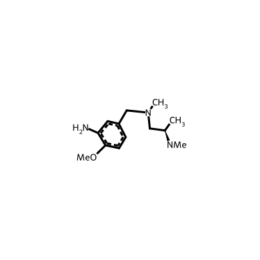 CN[C@H](C)CN(C)Cc1ccc(OC)c(N)c1